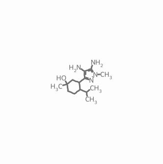 CC(C)C1CCC(C)(O)CC1c1nn(C)c(N)c1N